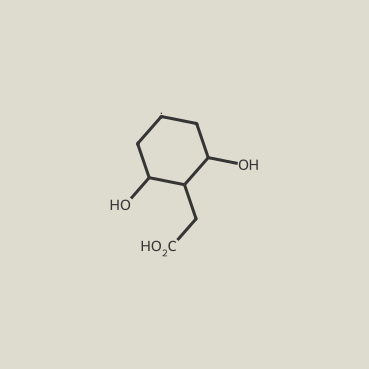 O=C(O)CC1C(O)C[CH]CC1O